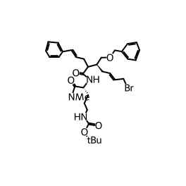 CNC(=O)[C@@H](CCCNC(=O)OC(C)(C)C)NC(=O)C(C/C=C/c1ccccc1)[C@H](C/C=C/CBr)COCc1ccccc1